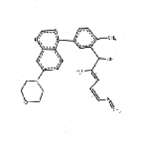 C=N/C=C\C=C(/C)C(O)c1cc(-c2ncnc3cc(N4CCOCC4)ccc23)ccc1C